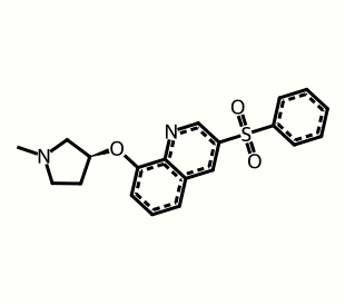 CN1CC[C@H](Oc2cccc3cc(S(=O)(=O)c4ccccc4)cnc23)C1